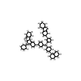 c1ccc(-n2c3ccc(-c4ccc(N(c5ccc(-c6cccc7ccccc67)cc5)c5cccc(-c6ccc7c(c6)sc6ccccc67)c5)cc4)cc3c3c4ccccc4oc32)cc1